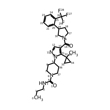 CCCNC(=O)N1CCC(n2ncc(C(=O)N3CCC(c4ccccc4C(F)(F)F)C3)c2C2(C)CC2)CC1